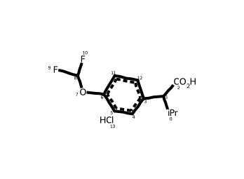 CC(C)C(C(=O)O)c1ccc(OC(F)F)cc1.Cl